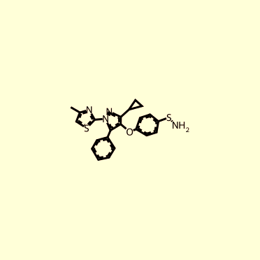 Cc1csc(-n2nc(C3CC3)c(Oc3ccc(SN)cc3)c2-c2ccccc2)n1